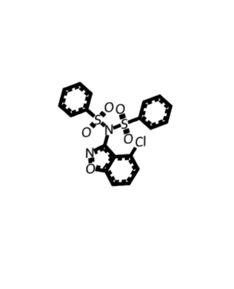 O=S(=O)(c1ccccc1)N(c1noc2cccc(Cl)c12)S(=O)(=O)c1ccccc1